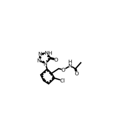 CC(=O)NOCc1c(Cl)cccc1-n1nn[nH]c1=O